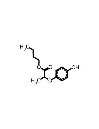 CCCCOC(=O)C(C)Oc1ccc(O)cc1